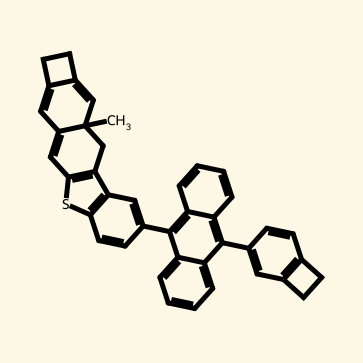 CC12C=C3CCC3=CC1=Cc1sc3ccc(-c4c5ccccc5c(-c5ccc6c(c5)CC6)c5ccccc45)cc3c1C2